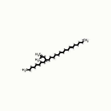 [CH2]CCCC/C=C/CCCCCCCCCC(CCCCCCC[CH2])CC(C)C